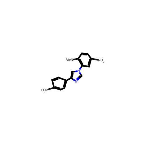 CNc1ccc([N+](=O)[O-])cc1-n1cnc(-c2ccc([N+](=O)[O-])cc2)c1